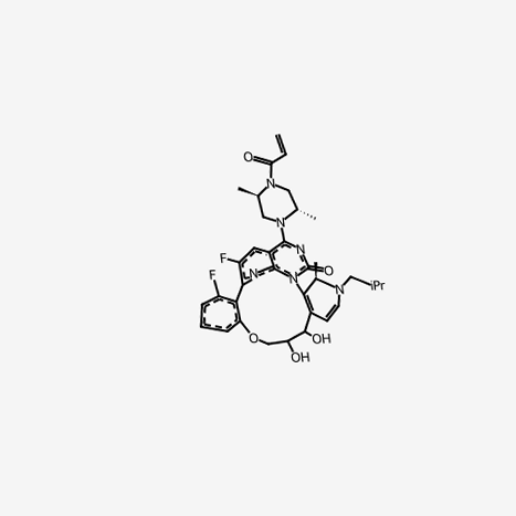 C=CC(=O)N1C[C@H](C)N(c2nc(=O)n3c4nc(c(F)cc24)-c2c(F)cccc2OCC(O)C(O)C2=C3[C@@H](C)N(CC(C)C)C=C2)C[C@H]1C